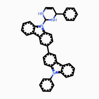 C1=CC(c2ccccc2)NC(n2c3ccccc3c3cc(-c4ccc5c(c4)c4ccccc4n5-c4ccccc4)ccc32)N1